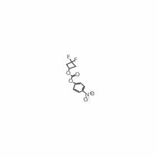 O=C(Oc1ccc([N+](=O)[O-])cc1)OC1CC(F)(F)C1